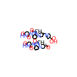 Cn1c(=O)n(C2CCC(=O)NC2=O)c2cccc(N3CCC(C=O)CC3)c21.Cn1c(=O)n(C2CCC(=O)NC2=O)c2cccc(N3CCC(CN4CCC(C(=O)O)CC4)CC3)c21